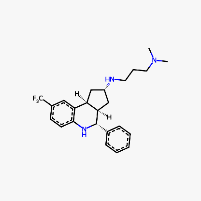 CN(C)CCCN[C@@H]1C[C@@H]2[C@H](C1)c1cc(C(F)(F)F)ccc1N[C@H]2c1ccccc1